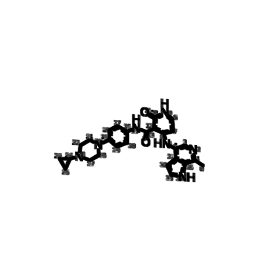 Cc1ncc(Nc2cc[nH]c(=O)c2C(=O)Nc2ccc(N3CCN(C4CC4)CC3)cc2)c2cc[nH]c12